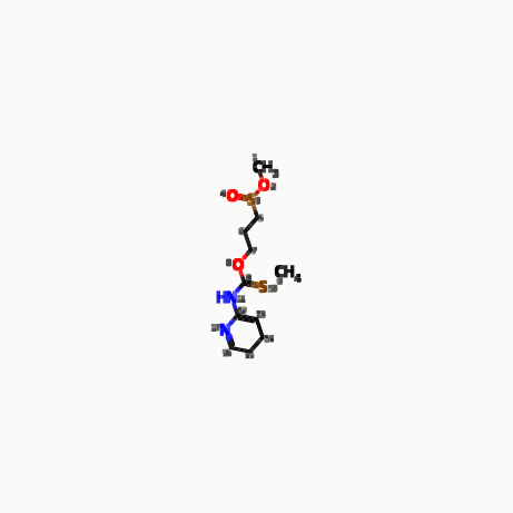 C.COS(=O)CCCOC(=S)NC1=CCCC=N1